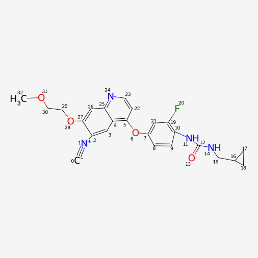 [C-]#[N+]c1cc2c(Oc3ccc(NC(=O)NCC4CC4)c(F)c3)ccnc2cc1OCCOC